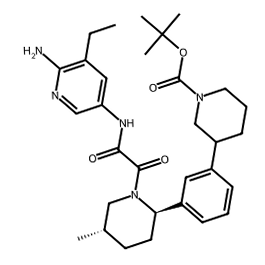 CCc1cc(NC(=O)C(=O)N2C[C@@H](C)CC[C@@H]2c2cccc(C3CCCN(C(=O)OC(C)(C)C)C3)c2)cnc1N